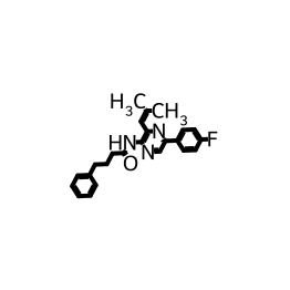 CC(C)=Cc1nc(-c2ccc(F)cc2)cnc1NC(=O)CCCc1ccccc1